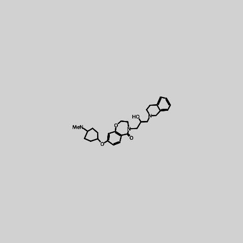 CNC1CCC(Oc2ccc3c(c2)OCCN(CC(O)CN2CCc4ccccc4C2)C3=O)CC1